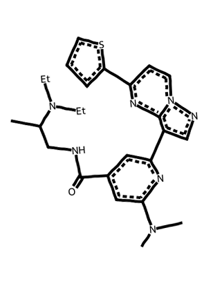 CCN(CC)C(C)CNC(=O)c1cc(-c2cnn3ccc(-c4cccs4)nc23)nc(N(C)C)c1